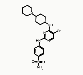 NS(=O)(=O)c1ccc(Nc2ncc(Br)c(NC3CCC(N4CCCCC4)CC3)n2)cc1